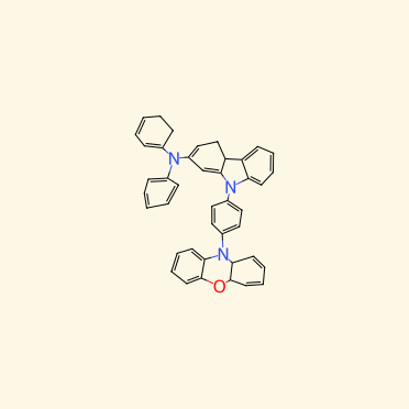 C1=CCCC(N(C2=CCC3C(=C2)N(c2ccc(N4c5ccccc5OC5C=CC=CC54)cc2)c2ccccc23)c2ccccc2)=C1